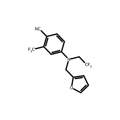 N#Cc1ccc(N(Cc2ccco2)CC(F)(F)F)cc1C(F)(F)F